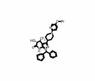 CC(C)Oc1ccc(N2CCC(c3nn(C(c4ccccc4)c4ccccc4)c4c3[C@H](C(F)(F)F)[C@@H](O)C(=O)N4)CC2)nc1